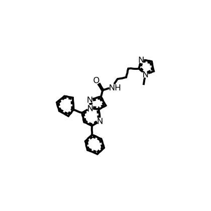 Cn1ccnc1CCCNC(=O)c1cc2nc(-c3ccccc3)cc(-c3ccccc3)n2n1